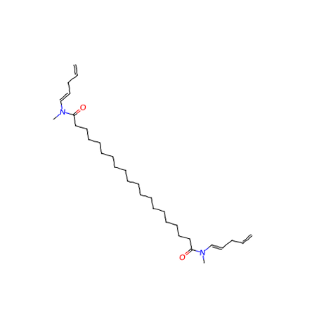 C=CC/C=C/N(C)C(=O)CCCCCCCCCCCCCCCCCCC(=O)N(C)/C=C/CC=C